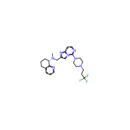 CN(Cc1cn2c(N3CCN(CCC(F)(F)F)CC3)nccc2n1)[C@H]1CCCc2cccnc21